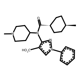 CN1CCC(N(c2nn(-c3ccccc3)cc2C(=O)O)C(=O)[C@H]2CC[C@H](C)CC2)CC1